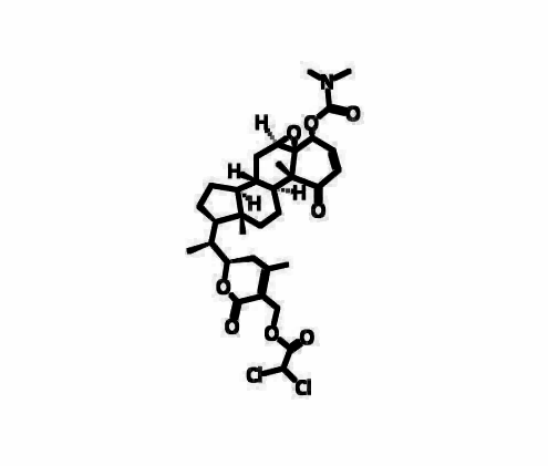 CC1=C(COC(=O)C(Cl)Cl)C(=O)O[C@@H]([C@@H](C)[C@H]2CC[C@H]3[C@@H]4C[C@H]5O[C@]56[C@@H](OC(=O)N(C)C)C=CC(=O)[C@]6(C)[C@H]4CC[C@]23C)C1